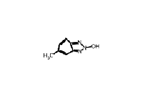 Cc1ccc2nn(O)nc2c1